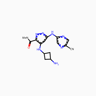 CNC(=O)c1nnc(Nc2cnc(C#N)cn2)cc1NC1CC(N)C1